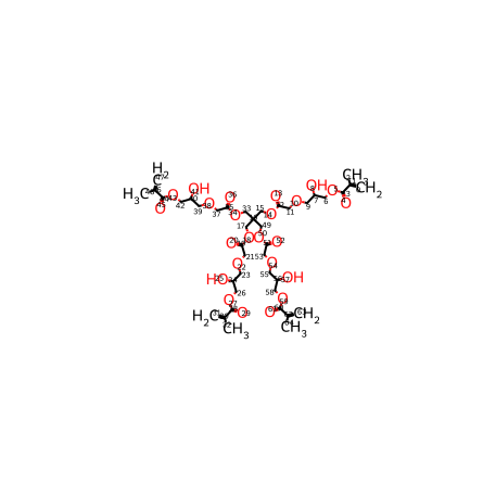 C=C(C)C(=O)OCC(O)COCC(=O)OCC(COC(=O)COCC(O)COC(=O)C(=C)C)(COC(=O)COCC(O)COC(=O)C(=C)C)COC(=O)COCC(O)COC(=O)C(=C)C